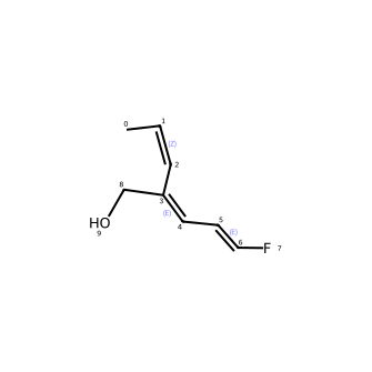 C\C=C/C(=C\C=C\F)CO